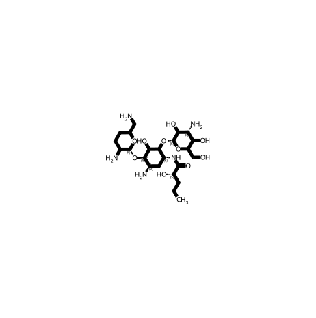 CCC[C@H](O)C(=O)N[C@@H]1C[C@@H](N)[C@@H](O[C@H]2OC(CN)CCC2N)C(O)C1O[C@H]1OC(CO)C(O)[C@@H](N)C1O